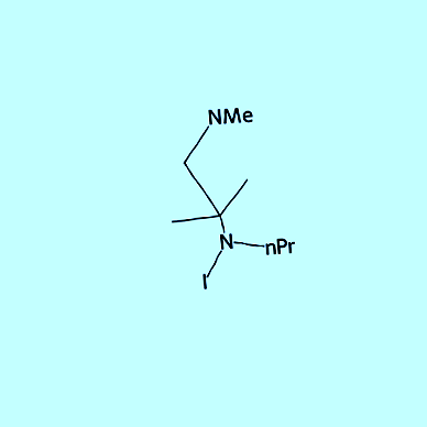 CCCN(I)C(C)(C)CNC